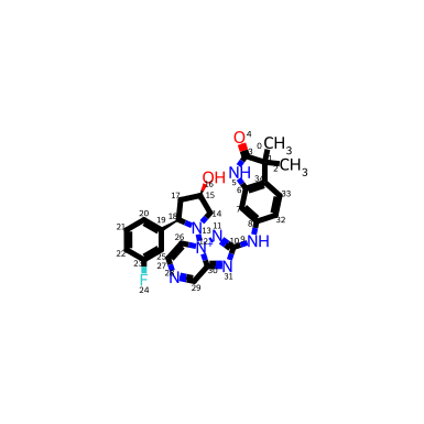 CC1(C)C(=O)Nc2cc(NC3=N[N+]4(N5C[C@H](O)C[C@@H]5c5cccc(F)c5)C=CN=CC4=N3)ccc21